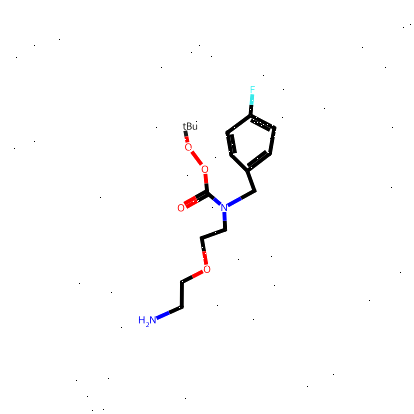 CC(C)(C)OOC(=O)N(CCOCCN)Cc1ccc(F)cc1